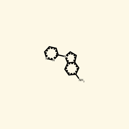 Nc1ccc2c(ccn2-c2cccnn2)c1